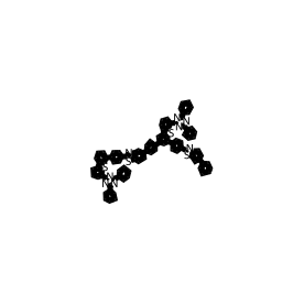 c1ccc(-c2ccc3nc(-c4ccc(-c5cc(-c6ccc(-c7ccc8sc(-c9ccc(-c%10cccc%11c%10sc%10c(-c%12nc(-c%13ccccc%13)nc(-c%13ccccc%13)n%12)cccc%10%11)cc9)nc8c7)cc6)cc6c5sc5c(-c7nc(-c8ccccc8)nc(-c8ccccc8)n7)cccc56)cc4)sc3c2)cc1